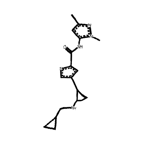 Cc1cc(NC(=O)c2cc(C3CC3NCC3CC3)cs2)n(C)n1